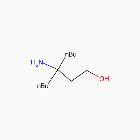 CCCCC(N)(CCO)CCCC